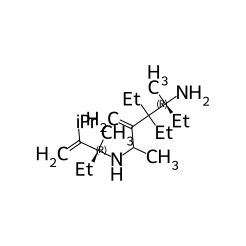 C=C(C(C)N[C@](C)(CC)C(=C)C(C)C)C(CC)(CC)[C@](C)(N)CC